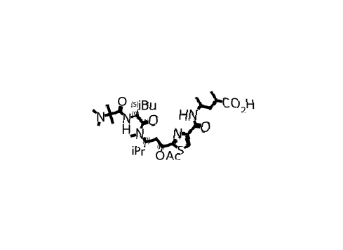 CC[C@H](C)[C@H](NC(=O)C(C)(C)N(C)C)C(=O)N(C)[C@H](C[C@@H](OC(C)=O)c1nc(C(=O)NC(C)CC(C)C(=O)O)cs1)C(C)C